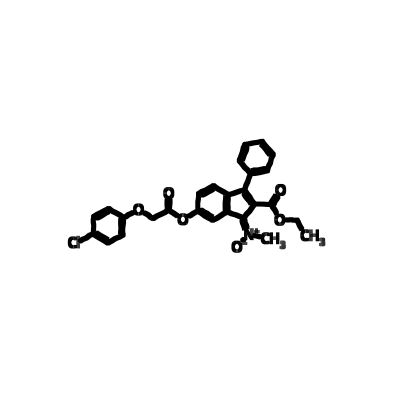 CCOC(=O)C1=C(c2ccccc2)c2ccc(OC(=O)COc3ccc(Cl)cc3)cc2/C1=[N+](/C)[O-]